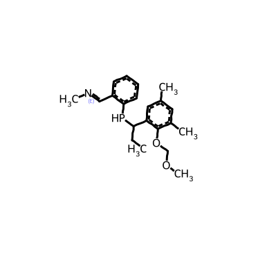 CCC(Pc1ccccc1/C=N/C)c1cc(C)cc(C)c1OCOC